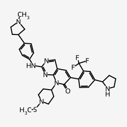 CSN1CCC(n2c(=O)c(-c3ccc(C4CCCN4)cc3C(F)(F)F)cc3cnc(Nc4ccc(C5CCN(C)C5)cc4)nc32)CC1